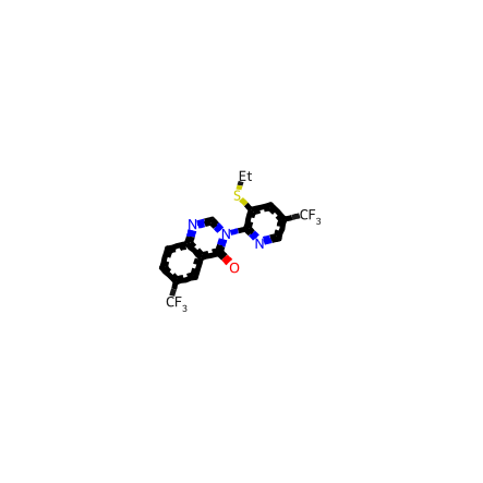 CCSc1cc(C(F)(F)F)cnc1-n1cnc2ccc(C(F)(F)F)cc2c1=O